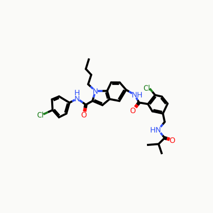 CCCCn1c(C(=O)Nc2ccc(Cl)cc2)cc2cc(NC(=O)c3cc(CNC(=O)C(C)C)ccc3Cl)ccc21